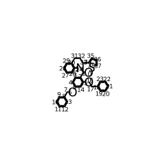 O=C(c1ccc(OCc2ccccc2)cc1OCc1ccccc1)N1c2ccccc2CCC1c1cccs1